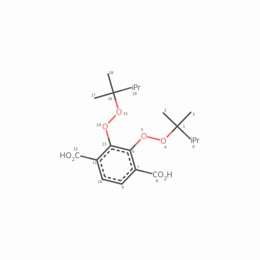 CC(C)C(C)(C)OOc1c(C(=O)O)ccc(C(=O)O)c1OOC(C)(C)C(C)C